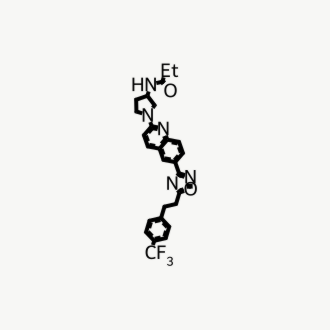 CCC(=O)NC1CCN(c2ccc3cc(-c4noc(CCc5ccc(C(F)(F)F)cc5)n4)ccc3n2)C1